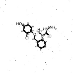 NNC(=O)N(N)c1ccccc1COc1ccc(O)cc1Cl